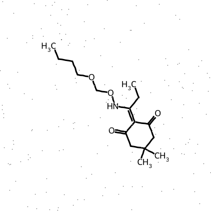 CCCCOCONC(CC)=C1C(=O)CC(C)(C)CC1=O